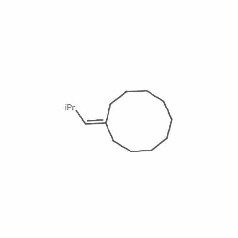 CC(C)C=C1CCCCCCCCC1